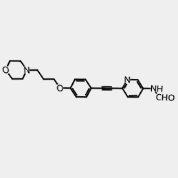 O=CNc1ccc(C#Cc2ccc(OCCCN3CCOCC3)cc2)nc1